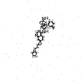 NC(=O)C[N+]1(c2cccc(F)c2)C=C(Nc2ncnc3cc(OCCCN4CCCC4)ccc23)N=N1